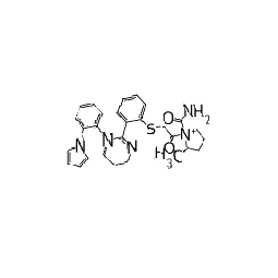 C[C@@H]1CCC[N+]1(C(N)=O)C(=O)CSc1ccccc1C1=NCCCN1c1ccccc1-n1cccc1